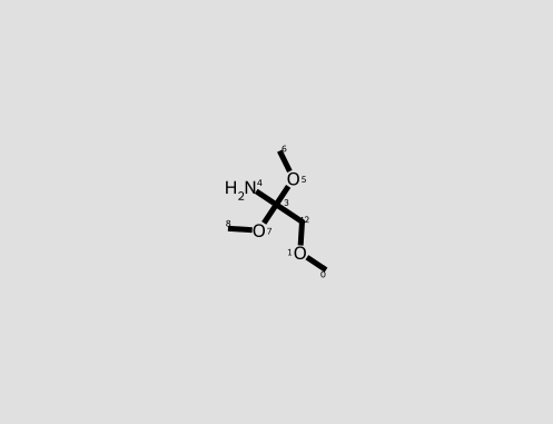 CO[CH]C(N)(OC)OC